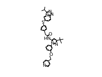 CC(C)c1nnc2ccc(Sc3ccc(CC(=O)Nc4cc(C(C)(C)C)nn4-c4cccc(OCCc5ccncc5)c4)cc3)cn12